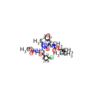 CCCN(CC[C@H](OCCNC(=O)OC)c1cccc(Cl)c1)C(=O)N[C@@H](C[C@H]1CCCOC1)CN(C)C(=O)OCC[Si](C)(C)C